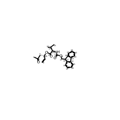 C=C[C@H](CC(C)=O)OC(=O)C(NC(=O)OCC1c2ccccc2-c2ccccc21)C(C)C